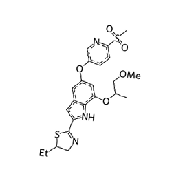 CCC1CN=C(c2cc3cc(Oc4ccc(S(C)(=O)=O)nc4)cc(OC(C)COC)c3[nH]2)S1